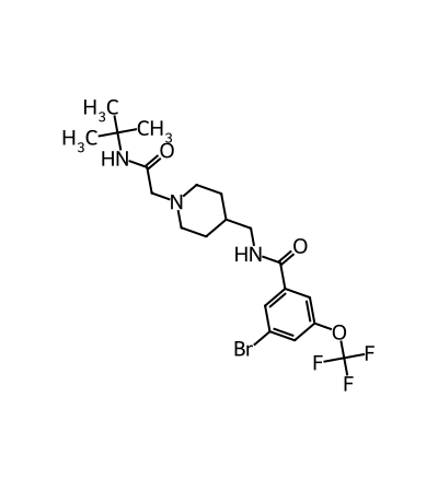 CC(C)(C)NC(=O)CN1CCC(CNC(=O)c2cc(Br)cc(OC(F)(F)F)c2)CC1